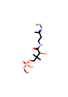 CO/N=C(\C)CCNC(=O)[C@@H](O)C(C)(C)COP(=O)(O)OC(C)(C)C